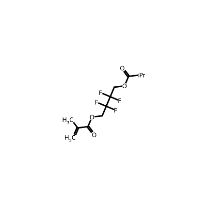 C=C(C)C(=O)OCC(F)(F)C(F)(F)COC(=O)C(C)C